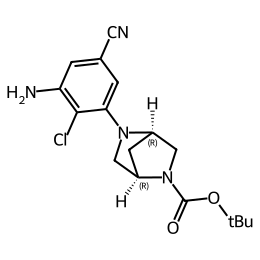 CC(C)(C)OC(=O)N1C[C@H]2C[C@@H]1CN2c1cc(C#N)cc(N)c1Cl